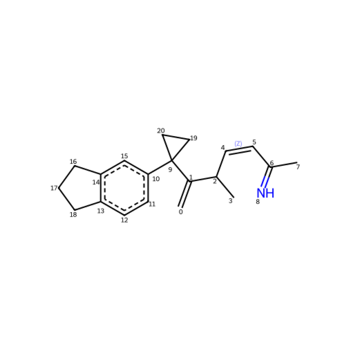 C=C(C(C)/C=C\C(C)=N)C1(c2ccc3c(c2)CCC3)CC1